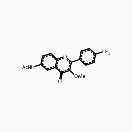 COc1c(-c2ccc(C(F)(F)F)cc2)oc2ccc(NC(C)=O)cc2c1=O